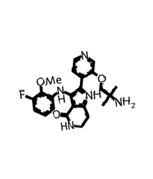 COc1c(F)cccc1Nc1c(-c2ccncc2OCC(C)(C)N)[nH]c2c1C(=O)NCC2